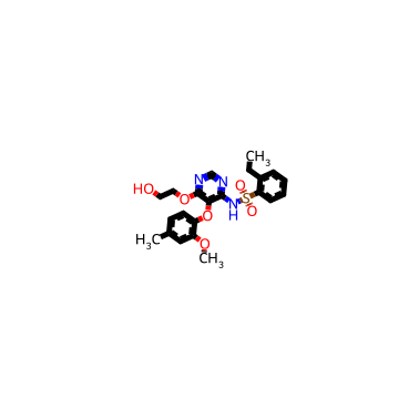 CCc1ccccc1S(=O)(=O)Nc1ncnc(OCCO)c1Oc1ccc(C)cc1OC